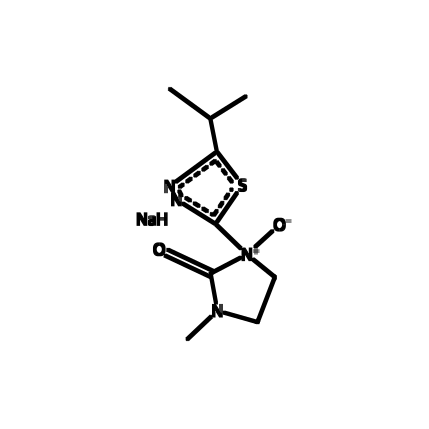 CC(C)c1nnc([N+]2([O-])CCN(C)C2=O)s1.[NaH]